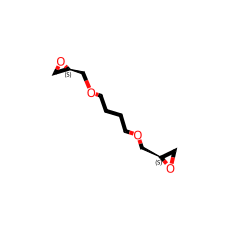 C(CCOC[C@H]1CO1)COC[C@H]1CO1